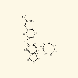 CCC(CC)CN1CCCC(Nc2nc3c(c(N4CCCCCC4)n2)CCC3)C1